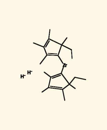 CCC1(C)C(C)=C(C)C(C)=[C]1[Zr][C]1=C(C)C(C)=C(C)C1(C)CC.[H-].[H-]